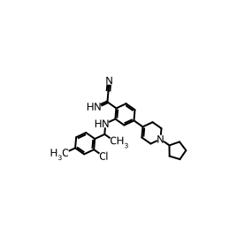 Cc1ccc(C(C)Nc2cc(C3=CCN(C4CCCC4)CC3)ccc2C(=N)C#N)c(Cl)c1